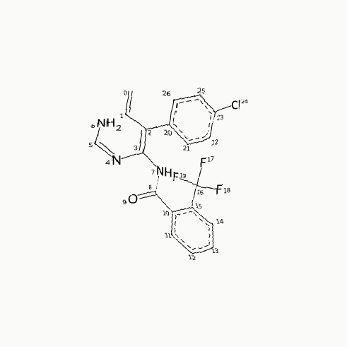 C=C/C(=C(\N=C/N)NC(=O)c1ccccc1C(F)(F)F)c1ccc(Cl)cc1